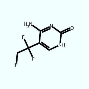 Nc1nc(=O)[nH]cc1C(F)(F)CF